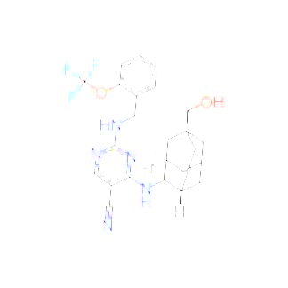 N#Cc1cnc(NCc2ccccc2OC(F)(F)F)nc1NC1[C@@H]2CC3C[C@H]1C[C@@](CO)(C3)C2